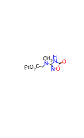 CCOC(=O)CN(C)c1noc(=O)[nH]1